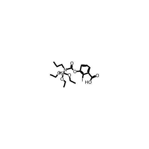 CCCN(C(=O)Oc1cccc(C(=O)O)c1I)[Si](OCC)(OCC)OCC